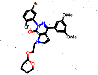 COc1cc(OC)cc(-c2nn(-c3cc(Br)ccc3C(F)(F)F)c(=O)c3c2ccn3CCOC2CCCCO2)c1